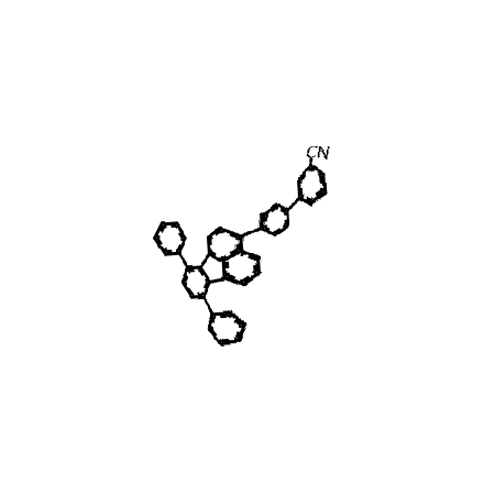 N#Cc1cccc(-c2ccc(-c3ccc4c5c(cccc35)-c3c(-c5ccccc5)ccc(-c5ccccc5)c3-4)cc2)c1